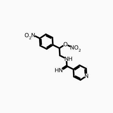 N=C(NCC(O[N+](=O)[O-])c1ccc([N+](=O)[O-])cc1)c1ccncc1